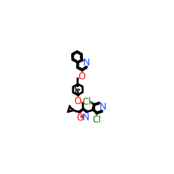 Clc1cncc(Cl)c1-c1noc(C2CC2)c1COC12CCC(COc3cnc4ccccc4c3)(CC1)CC2